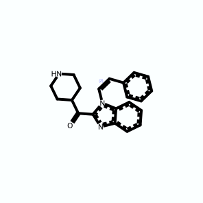 O=C(c1nc2ccccc2n1/C=C\c1ccccc1)C1CCNCC1